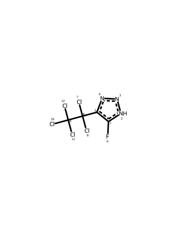 Fc1[nH]nnc1C(Cl)(Cl)C(Cl)(Cl)Cl